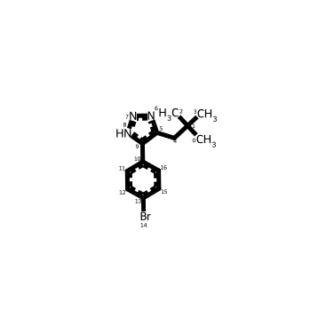 CC(C)(C)Cc1nn[nH]c1-c1ccc(Br)cc1